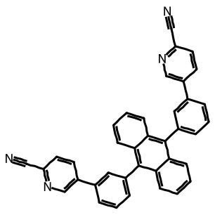 N#Cc1ccc(-c2cccc(-c3c4ccccc4c(-c4cccc(-c5ccc(C#N)nc5)c4)c4ccccc34)c2)cn1